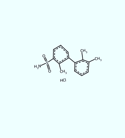 Cc1cccc(-c2cccc(S(N)(=O)=O)c2C)c1C.Cl